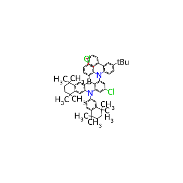 CC(C)(C)c1ccc(N2c3cc(Cl)ccc3B3c4cc5c(cc4N(c4ccc6c(c4)C(C)(C)CCC6(C)C)c4cc(Cl)cc2c43)C(C)(C)CCC5(C)C)c(-c2ccccc2)c1